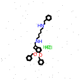 Cl.Cl.c1ccc(CCNCCCCCCNCC2Cc3c2ccc(OCc2ccccc2)c3OCc2ccccc2)cc1